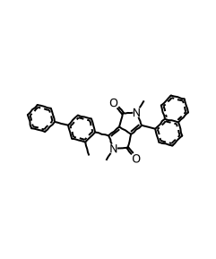 Cc1cc(-c2ccccc2)ccc1C1=C2C(=O)N(C)C(c3cccc4ccccc34)=C2C(=O)N1C